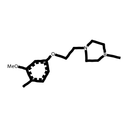 COc1cc(OCCN2CCB(C)CC2)ccc1C